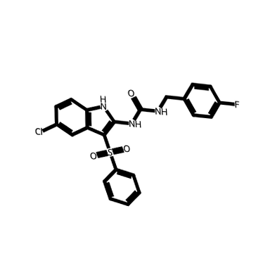 O=C(NCc1ccc(F)cc1)Nc1[nH]c2ccc(Cl)cc2c1S(=O)(=O)c1ccccc1